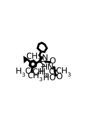 CC(C)(CNC(=O)c1nc(CC2CCCCCC2)c(-c2cc(C(C)(C)C)cc(C3(C)CC3)c2)s1)C(=O)O